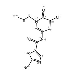 N#Cc1ncc(C(=O)Nc2cc(Cl)c(=O)n(CCF)c2)s1